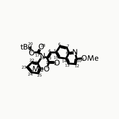 COC(=O)C(=Cc1ccc2nc(OC)ccc2c1)N(C(=O)OC(C)(C)C)c1ccccc1